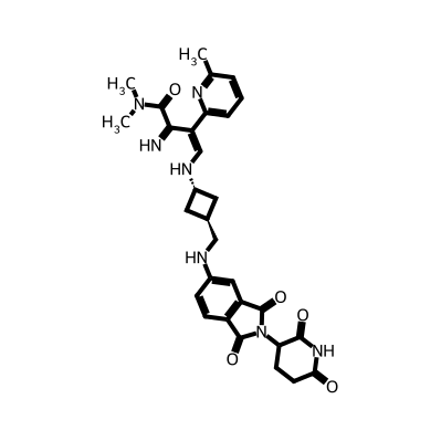 Cc1cccc(/C(=C/N[C@H]2C[C@H](CNc3ccc4c(c3)C(=O)N(C3CCC(=O)NC3=O)C4=O)C2)C(=N)C(=O)N(C)C)n1